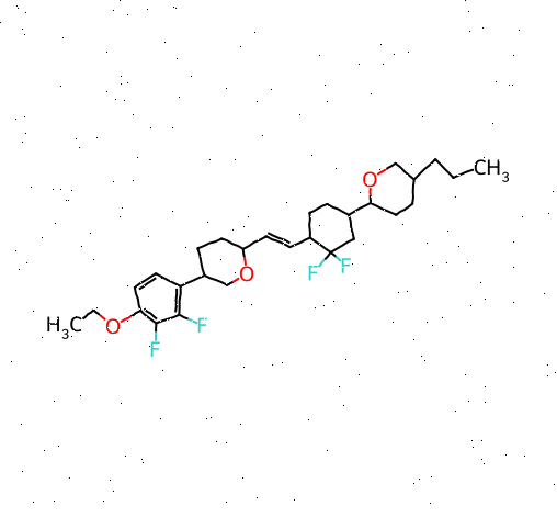 CCCC1CCC(C2CCC(/C=C/C3CCC(c4ccc(OCC)c(F)c4F)CO3)C(F)(F)C2)OC1